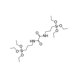 CCO[Si](CCCNC(=O)C(=O)NCCC[Si](OCC)(OCC)OCC)(OCC)OCC